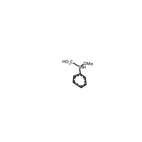 C[O][SnH]([C](=O)O)[c]1ccccc1